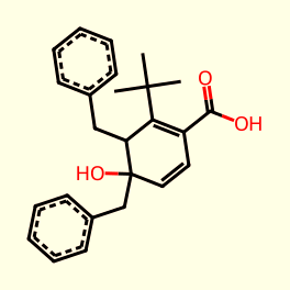 CC(C)(C)C1=C(C(=O)O)C=CC(O)(Cc2ccccc2)C1Cc1ccccc1